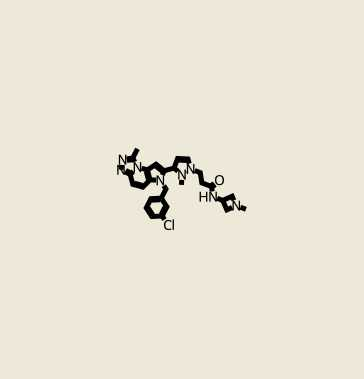 Cc1nnc2ccc3c(cc(C4C=CN(CCC(=O)NC5CN(C)C5)N4C)n3Cc3cccc(Cl)c3)n12